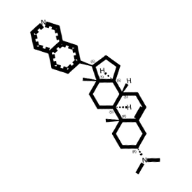 CN(C)[C@@H]1CC[C@@]2(C)C(=CC[C@H]3[C@@H]4CC[C@H](c5ccc6ccncc6c5)[C@@]4(C)CC[C@@H]32)C1